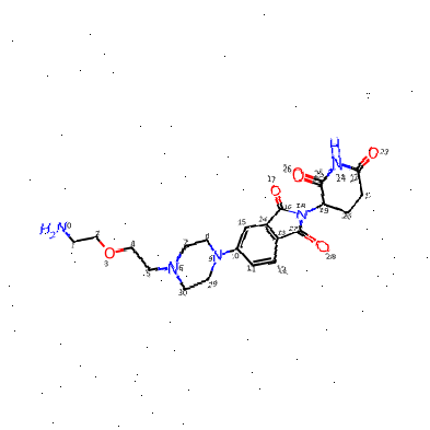 NCCOCCN1CCN(c2ccc3c(c2)C(=O)N(C2CCC(=O)NC2=O)C3=O)CC1